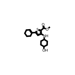 COC(=O)c1sc(C2=CCCCC2)cc1NC1CCC(O)CC1